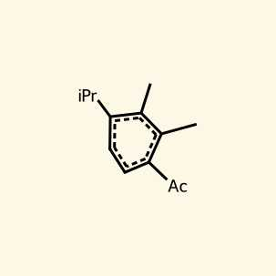 CC(=O)c1ccc(C(C)C)c(C)c1C